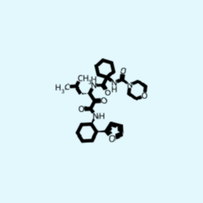 CC(C)C[C@H](NC(=O)C1(NC(=O)N2CCOCC2)CCCCC1)C(=O)C(=O)N[C@@H]1CCCC[C@@H]1c1ccco1